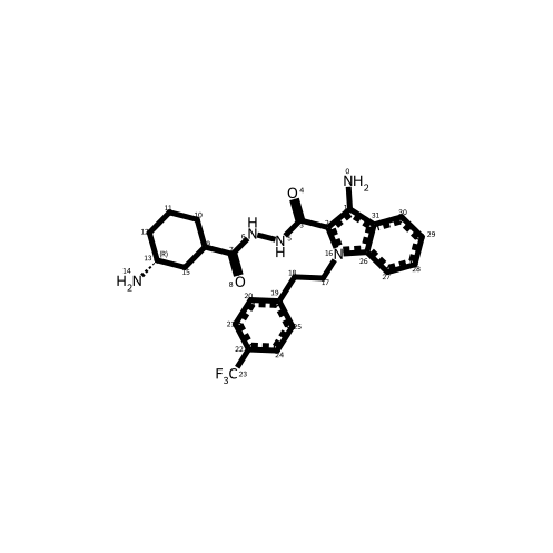 Nc1c(C(=O)NNC(=O)C2CCC[C@@H](N)C2)n(CCc2ccc(C(F)(F)F)cc2)c2ccccc12